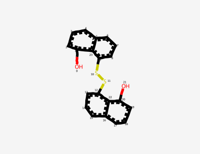 Oc1cccc2cccc(SSc3cccc4cccc(O)c34)c12